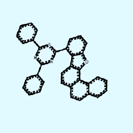 c1ccc(-c2nc(-c3ccccc3)nc(-c3cccc4oc5c(ccc6ccc7ccccc7c65)c34)n2)cc1